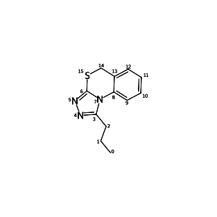 CCCc1nnc2n1-c1ccccc1CS2